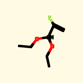 C=C(F)[SiH](OCC)OCC